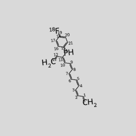 C=C\C=C/C=C\C=C/C=C\C=C(\C=C)Pc1ccc([18F])cc1